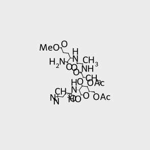 COC(=O)CCC(NC(=O)C(C)NC(=O)C(C)O[C@@H]1[C@@H](NC(=O)CCC2(C)N=N2)[C@@H](O)O[C@H](COC(C)=O)[C@H]1OC(C)=O)C(N)=O